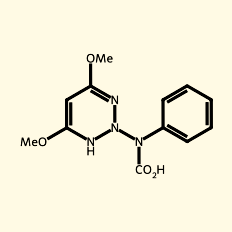 COC1=CC(OC)=NN(N(C(=O)O)c2ccccc2)N1